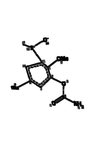 COc1c(OC(N)=O)cc(C(C)(C)C)cc1[S+](C)[O-]